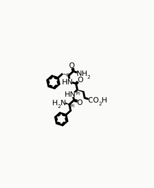 NC(=O)[C@@H](Cc1ccccc1)NC(=O)[C@@H](CCC(=O)O)NC(=O)[C@H](N)Cc1ccccc1